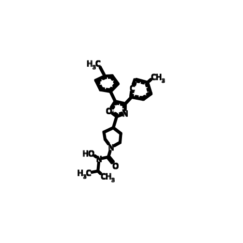 Cc1ccc(-c2nc(C3CCN(C(=O)N(O)C(C)C)CC3)oc2-c2ccc(C)cc2)cc1